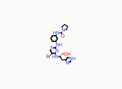 O=C(Nc1cccc(Nc2ncc(Br)c(N[C@H](CO)Cc3c[nH]cn3)n2)c1)N1CCCC1